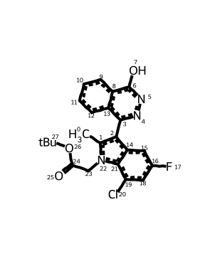 Cc1c(-c2nnc(O)c3ccccc23)c2cc(F)cc(Cl)c2n1CC(=O)OC(C)(C)C